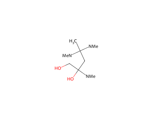 CNC(O)(CO)CC(C)(NC)NC